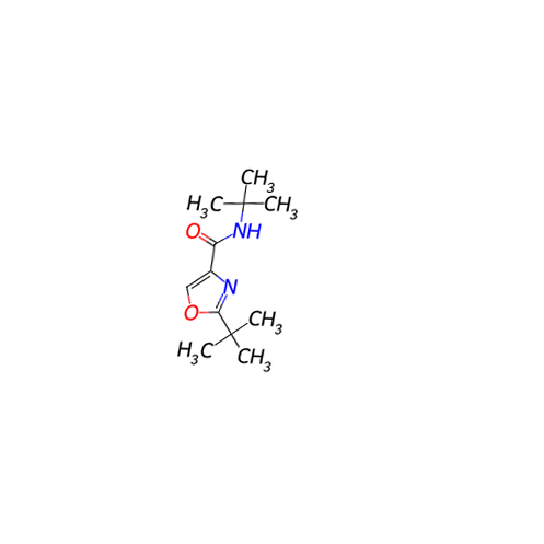 CC(C)(C)NC(=O)c1coc(C(C)(C)C)n1